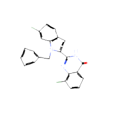 O=c1[nH]c(-c2cc3ccc(Cl)cc3n2Cc2ccccc2)nc2c(Cl)cccc12